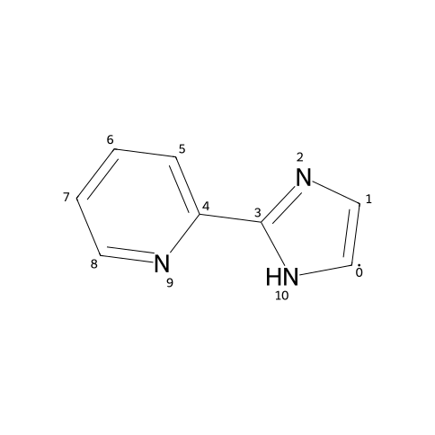 [c]1cnc(-c2ccccn2)[nH]1